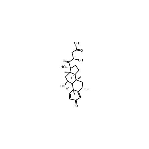 C[C@H]1C[C@@H]2[C@H]([C@@H](O)C[C@@]3(C)[C@H]2CC[C@]3(O)C(=O)C(O)CC(=O)O)[C@@]2(C)C=CC(=O)C=C12